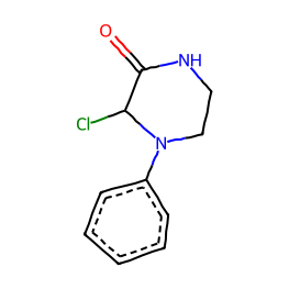 O=C1NCCN(c2ccccc2)C1Cl